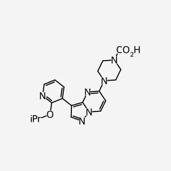 CC(C)Oc1ncccc1-c1cnn2ccc(N3CCN(C(=O)O)CC3)nc12